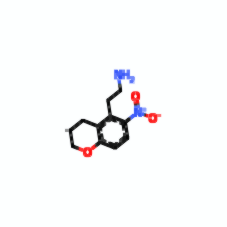 NCCc1c([N+](=O)[O-])ccc2c1C[CH]CO2